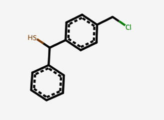 SC(c1ccccc1)c1ccc(CCl)cc1